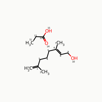 C=C(C)CCCC(C)=CCO.CCC(=O)O